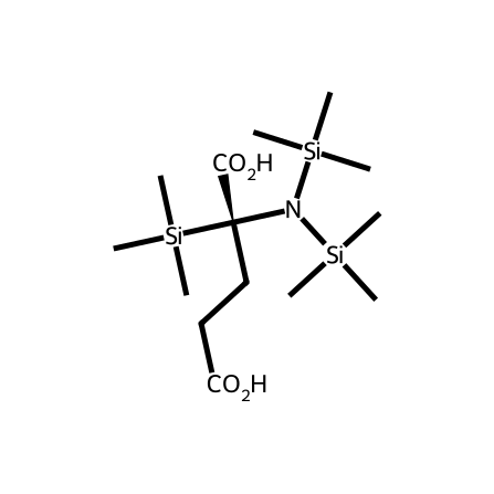 C[Si](C)(C)N([C@@](CCC(=O)O)(C(=O)O)[Si](C)(C)C)[Si](C)(C)C